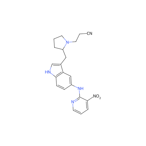 N#CCCN1CCCC1Cc1c[nH]c2ccc(Nc3ncccc3[N+](=O)[O-])cc12